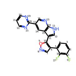 Fc1cccc(-c2cnoc2-c2c[nH]c3ncc(-c4ncccn4)cc23)c1F